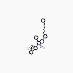 CN1C(c2ccc3c(c2)C(C)(C)c2ccccc2-3)=CC(c2ccccc2)=C2C=C(c3cccc(CCCCCCc4ccccc4)c3)CCC21